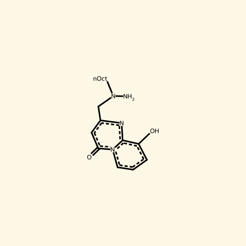 CCCCCCCCN(N)Cc1cc(=O)n2cccc(O)c2n1